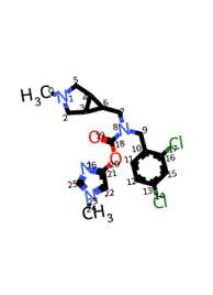 CN1CC2C(C1)C2CN(Cc1ccc(Cl)cc1Cl)C(=O)Oc1cn(C)cn1